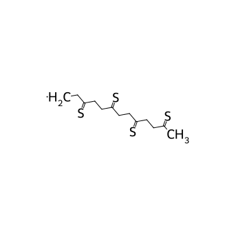 [CH2]CC(=S)CCC(=S)CCC(=S)CCC(C)=S